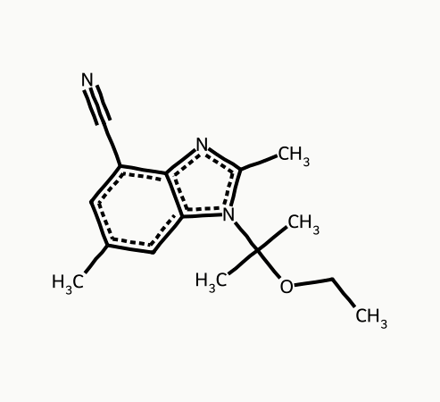 CCOC(C)(C)n1c(C)nc2c(C#N)cc(C)cc21